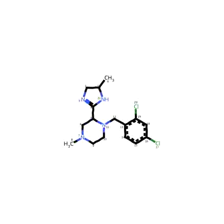 CC1CN=C(C2CN(C)CCN2Cc2ccc(Cl)cc2Cl)N1